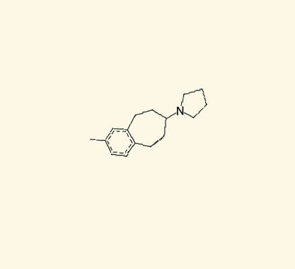 Cc1ccc2c(c1)CCC(N1CCCC1)CC2